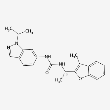 Cc1c([C@H](C)NC(=O)Nc2ccc3cnn(C(C)C)c3c2)oc2ccccc12